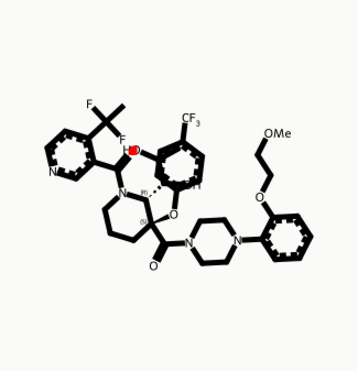 COCCOc1ccccc1N1CCN(C(=O)[C@]2(Oc3ccc(C(F)(F)F)cc3)CCCN(C(=O)c3cnccc3C(C)(F)F)[C@@H]2C(O)C(C)O)CC1